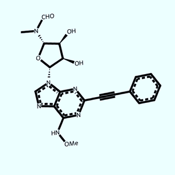 CONc1nc(C#Cc2ccccc2)nc2c1ncn2[C@@H]1O[C@H](N(C)C=O)[C@@H](O)[C@H]1O